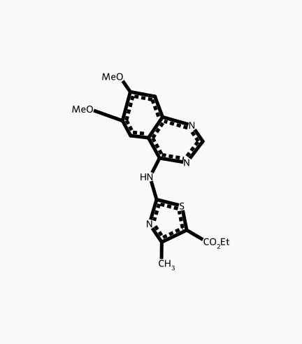 CCOC(=O)c1sc(Nc2ncnc3cc(OC)c(OC)cc23)nc1C